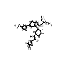 Cc1csc(-c2cc3c(cn2)nc(CC(C)C)n3[C@@H]2CCC[C@H](NC(=O)c3ncc(Cl)s3)C2)n1